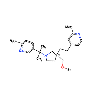 CCOC[C@]1(CCc2ccnc(OC)c2)CCN(C(C)(C)c2ccc(C)nc2)C1